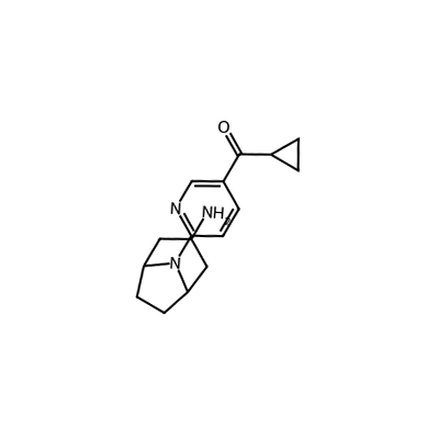 NC1CC2CCC(C1)N2c1ccc(C(=O)C2CC2)cn1